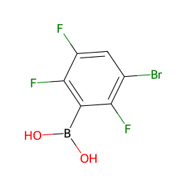 OB(O)c1c(F)c(F)cc(Br)c1F